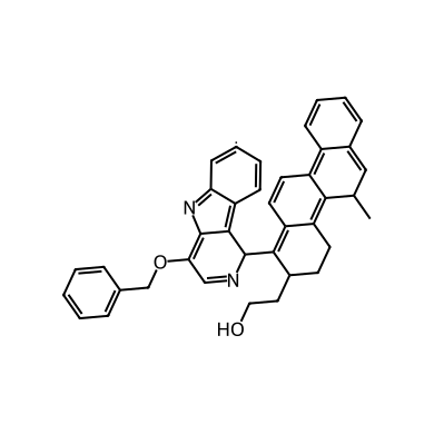 CC1C=c2ccccc2=c2ccc3c(c21)CCC(CCO)C=3C1N=CC(OCc2ccccc2)=C2N=c3c[c]ccc3=C21